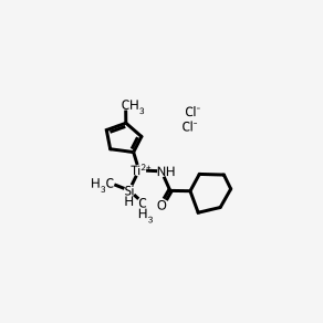 CC1=CC[C]([Ti+2]([NH]C(=O)C2CCCCC2)[SiH](C)C)=C1.[Cl-].[Cl-]